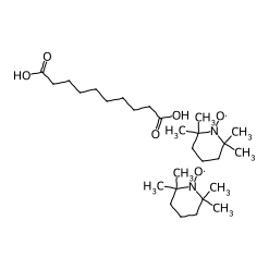 CC1(C)CCCC(C)(C)N1[O].CC1(C)CCCC(C)(C)N1[O].O=C(O)CCCCCCCCC(=O)O